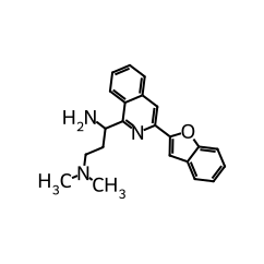 CN(C)CCC(N)c1nc(-c2cc3ccccc3o2)cc2ccccc12